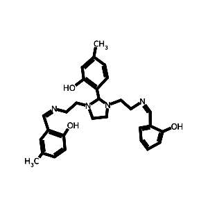 Cc1ccc(C2N(CC/N=C\c3ccccc3O)CCN2CC/N=C\c2cc(C)ccc2O)c(O)c1